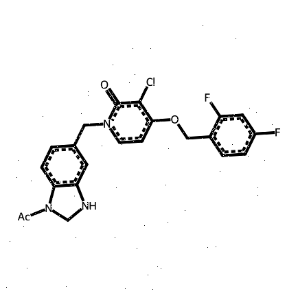 CC(=O)N1CNc2cc(Cn3ccc(OCc4ccc(F)cc4F)c(Cl)c3=O)ccc21